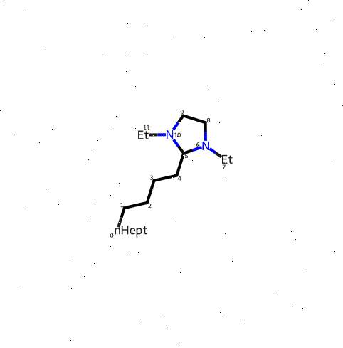 CCCCCCCCCCCC1N(CC)CCN1CC